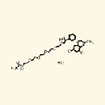 CN1Cc2c(Cl)cc(Cl)cc2[C@H](c2cccc(-c3cn(CCOCCOCCOCCOCCNC(N)=O)nn3)c2)C1.Cl